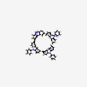 Cc1ccc2cc1c1cc(ccc1N)c1ccc3c(c1)c1cc(ccc1n3-c1ccccc1)c1ccc3c(c1)c1cc(ccc1n3-c1ccccc1)c1ccc3c(c1)c1cc2ccc1n3-c1ccccc1